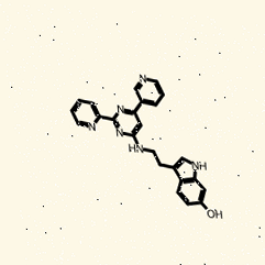 Oc1ccc2c(CCNc3cc(-c4cccnc4)nc(-c4ccccn4)n3)c[nH]c2c1